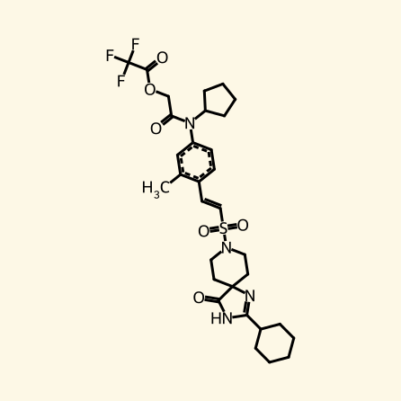 Cc1cc(N(C(=O)COC(=O)C(F)(F)F)C2CCCC2)ccc1C=CS(=O)(=O)N1CCC2(CC1)N=C(C1CCCCC1)NC2=O